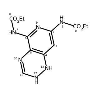 CCOC(=O)Nc1cc2c(c(NC(=O)OCC)n1)N=CNN2